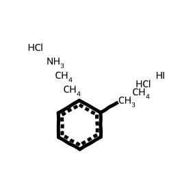 C.C.C.Cc1ccccc1.Cl.Cl.I.N